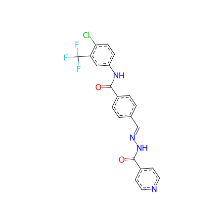 O=C(NN=Cc1ccc(C(=O)Nc2ccc(Cl)c(C(F)(F)F)c2)cc1)c1ccncc1